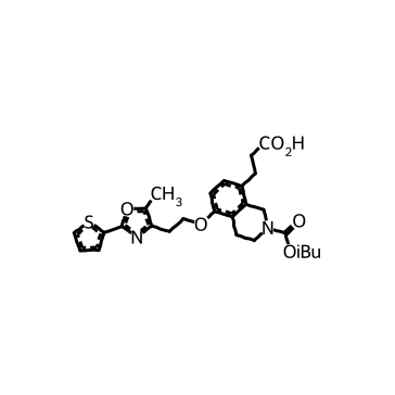 Cc1oc(-c2cccs2)nc1CCOc1ccc(CCC(=O)O)c2c1CCN(C(=O)OCC(C)C)C2